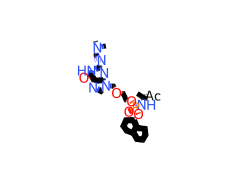 CC(=O)[C@H](C)NP(=O)(OCCOCn1cnc2c(=O)[nH]c(/N=C/N(C)C)nc21)Oc1cccc2ccccc12